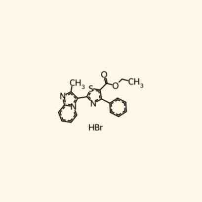 Br.CCOC(=O)c1sc(-c2c(C)nc3ccccn23)nc1-c1ccccc1